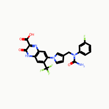 NC(=O)N(Cc1ccn(-c2cc3nc(C(=O)O)c(=O)[nH]c3cc2C(F)(F)F)c1)c1cccc(F)c1